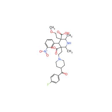 COCCC1(C(=O)O)C(C)NC(C)C(CCN2CCC(C(=O)c3ccc(F)cc3)CC2)(C(=O)O)C1c1cccc([N+](=O)[O-])c1